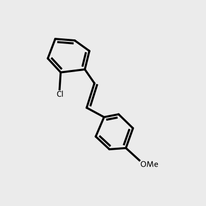 COc1ccc(/C=C/c2ccccc2Cl)cc1